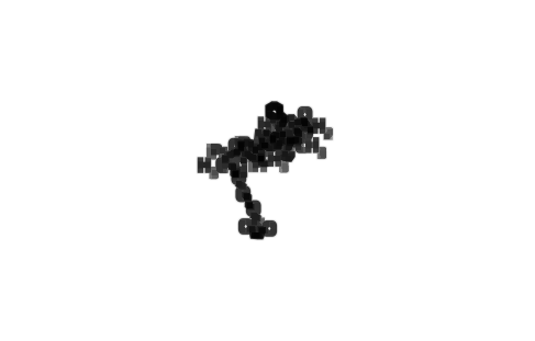 CC[C@H](C)[C@@H]([C@@H](CC(=O)N1CCC[C@H]1[C@H](OC)[C@@H](C)C(=O)N[C@@H](Cc1c[nH]c2ccccc12)C(N)=O)OC)N(C)[C@H](C(=O)NC(=O)[C@H](C(C)C)N(C)CCOCCOCCOCCN1C(=O)C=CC1=O)C(C)C